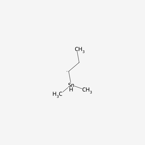 CC[CH][SnH]([CH3])[CH3]